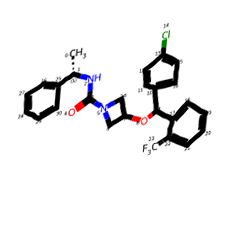 C[C@H](NC(=O)N1CC(OC(c2ccc(Cl)cc2)c2ccccc2C(F)(F)F)C1)c1ccccc1